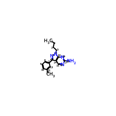 CCCCn1nc(-c2cccc(C)c2)c2cnc(N)nc21